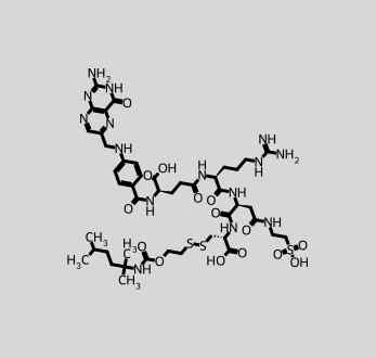 CC(C)CCC(C)(C)NC(=O)OCCSSC[C@H](NC(=O)[C@H](CC(=O)NCCS(=O)(=O)O)NC(=O)[C@H](CCCNC(=N)N)NC(=O)CC[C@@H](NC(=O)c1ccc(NCc2cnc3nc(N)[nH]c(=O)c3n2)cc1)C(=O)O)C(=O)O